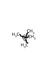 CCCCOC(COC)(OCCCC)OCCCC